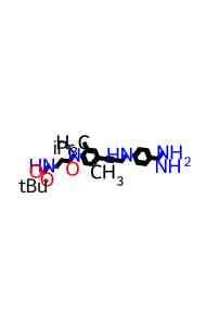 Cc1cc(N(C(=O)CCNC(=O)OC(C)(C)C)C(C)C)c(C)cc1C#CCNc1ccc(C(=N)N)cc1